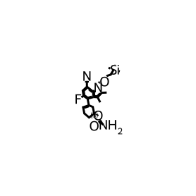 Cc1c(C)n(COCC[Si](C)(C)C)c2c(C#N)cc(F)c(C3=CCC[C@H](OC(N)=O)C3)c12